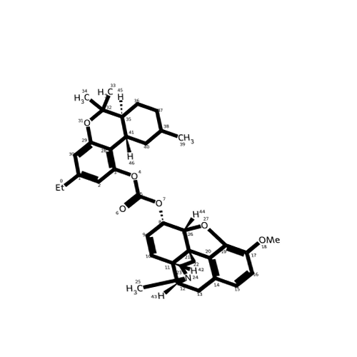 CCc1cc(OC(=O)O[C@H]2C=C[C@H]3[C@H]4Cc5ccc(OC)c6c5[C@@]3(CCN4C)[C@H]2O6)c2c(c1)OC(C)(C)[C@H]1CCC(C)C[C@H]21